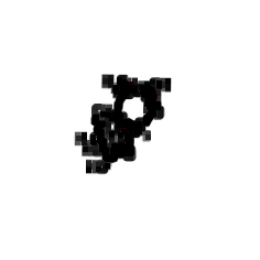 C#CC[C@H](/C=C/C(C)=C/[C@@H](O)[C@H]1C[C@@H](CO)C[C@@](O)(Cc2nc(/C=C(\C)[C@@H]3O[C@@H]4C/C=C/c5nc(co5)[C@H]5C[C@H](O)C[C@@H](C[C@H]6CC(=C)C[C@H](C/C=C\C(=O)O[C@@H]([C@H]4C)[C@H]3C)O6)O5)co2)O1)CO